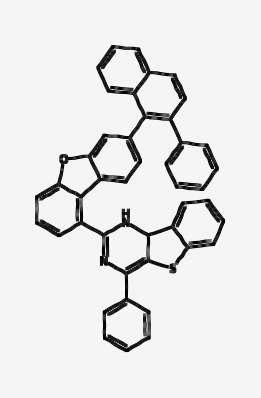 c1ccc(C2=C3Sc4ccccc4C3NC(c3cccc4oc5cc(-c6c(-c7ccccc7)ccc7ccccc67)ccc5c34)=N2)cc1